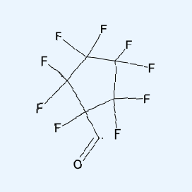 O=[C]C1(F)C(F)(F)C(F)(F)C(F)(F)C1(F)F